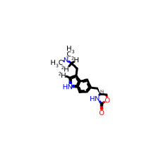 [2H]c1[nH]c2ccc(C[C@H]3COC(=O)N3)cc2c1CC([2H])([2H])N(C)C